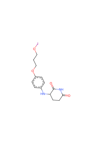 O=C1CCC(Nc2ccc(OCCCOI)cc2)C(=O)N1